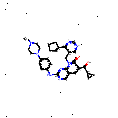 CN1CCN(c2ccc(Nc3ncc4cc(C(=O)C5CC5)c(=O)n(Cc5cncnc5C5=CCCC5)c4n3)cc2)CC1